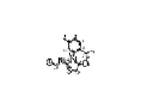 Cc1ccc(C(C)C)c(N2C(=O)CS/C2=N\[C]=O)c1